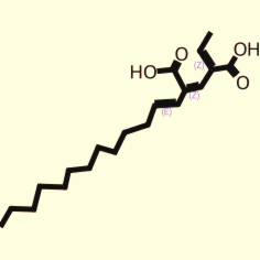 C/C=C(/C=C(/C=C/CCCCCCCCCCC)C(=O)O)C(=O)O